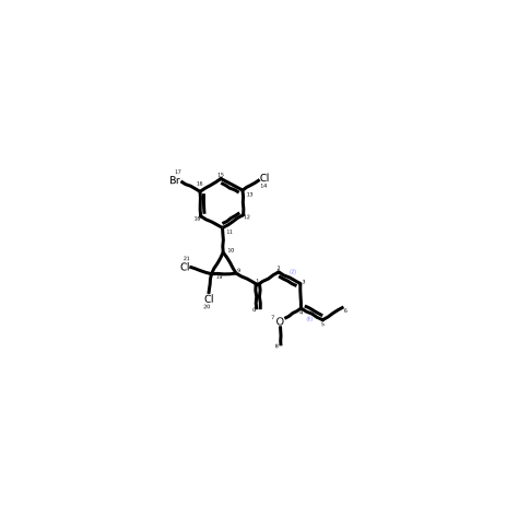 C=C(/C=C\C(=C/C)OC)C1C(c2cc(Cl)cc(Br)c2)C1(Cl)Cl